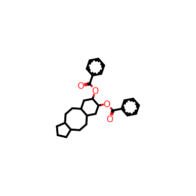 O=C(OC1CC2CCC3CCCC3CCC2CC1OC(=O)c1ccccc1)c1ccccc1